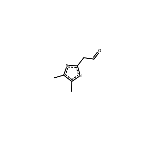 Cc1nc(CC=O)sc1C